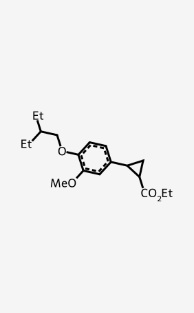 CCOC(=O)C1CC1c1ccc(OCC(CC)CC)c(OC)c1